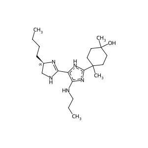 CCCC[C@@H]1CNC(c2[nH]c(C3(C)CCC(C)(O)CC3)nc2NCCC)=N1